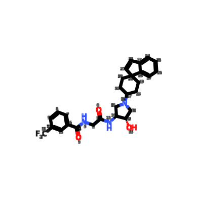 O=C(CNC(=O)c1cccc(C(F)(F)F)c1)N[C@H]1CN(C2CCC3(C=Cc4ccccc43)CC2)C[C@@H]1O